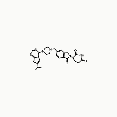 CC(C)c1cc2c(N3CCN(Cc4ccc5c(c4)CN(N4CCC(=O)NC4=O)C5=O)CC3)ncnc2s1